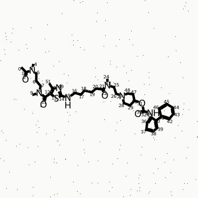 CC(=O)N(C)CCCN(C)C(=O)c1sc(NCCCCCC(=O)N(C)CCN2CCC(OC(=O)Nc3ccccc3-c3ccccc3)CC2)nc1C